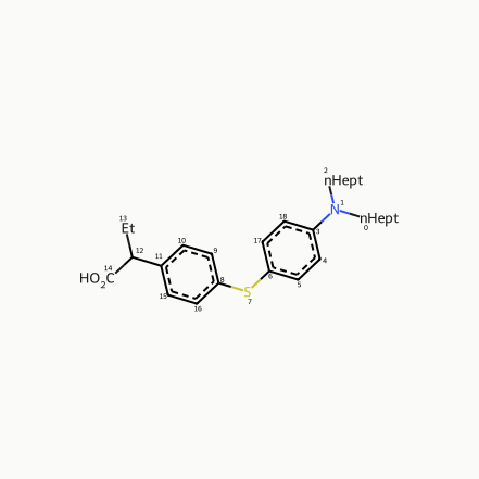 CCCCCCCN(CCCCCCC)c1ccc(Sc2ccc(C(CC)C(=O)O)cc2)cc1